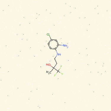 CC(O)(CCNc1ccc(Cl)cc1N)C(F)(F)F